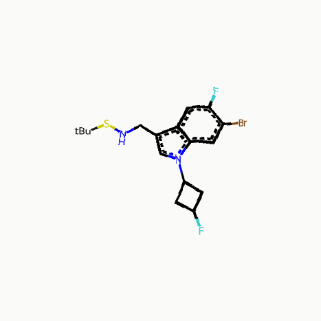 CC(C)(C)SNCc1cn(C2CC(F)C2)c2cc(Br)c(F)cc12